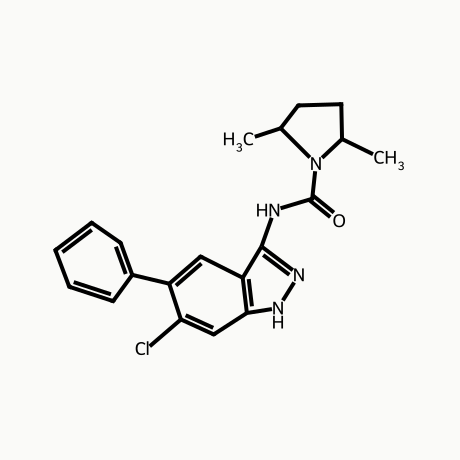 CC1CCC(C)N1C(=O)Nc1n[nH]c2cc(Cl)c(-c3ccccc3)cc12